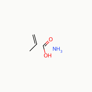 C=CC.N.O=CO